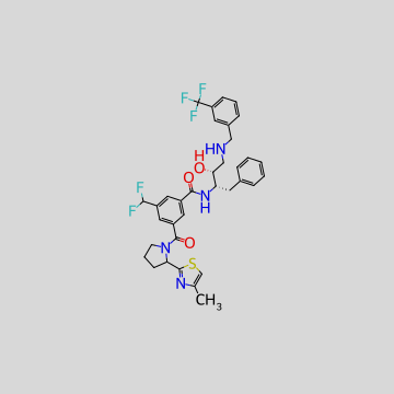 Cc1csc(C2CCCN2C(=O)c2cc(C(=O)N[C@@H](Cc3ccccc3)[C@H](O)CNCc3cccc(C(F)(F)F)c3)cc(C(F)F)c2)n1